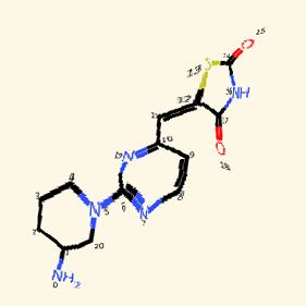 NC1CCCN(c2nccc(C=C3SC(=O)NC3=O)n2)C1